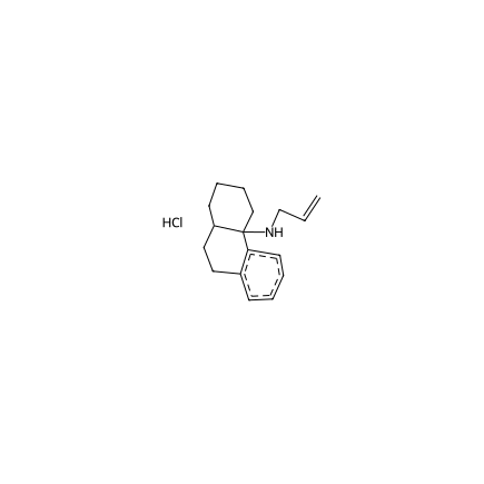 C=CCNC12CCCCC1CCc1ccccc12.Cl